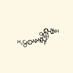 CC(=O)N1CCC(N2CC(n3cc(NC(=O)c4cccc(-c5cc[nH]n5)n4)c(C(F)F)n3)C2)CC1